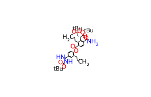 C=CCc1cc(C(=N)NC(=O)OC(C)(C)C)ccc1OC(=O)c1ccc(C(N)=O)c([C@H](CC(=O)OC(C)(C)C)C(=O)OC(C)(C)C)c1CC=C